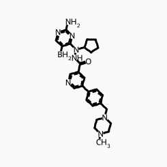 Bc1cnc(N)nc1N(NC(=O)c1cncc(-c2ccc(CN3CCN(C)CC3)cc2)c1)C1CCCC1